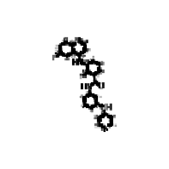 O=C(Nc1cccc(Nc2ccncc2)c1)c1cccc(Nc2ccnc3ccc(F)cc23)c1F